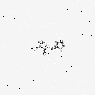 CN(C)C(=O)C=Cn1ccnc1